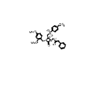 COc1ccc(CN2C(=O)[C@H](NC(=O)Cc3ccccc3)[C@@H]2CS(=O)(=O)c2ccc(C)cc2)c(OC)c1